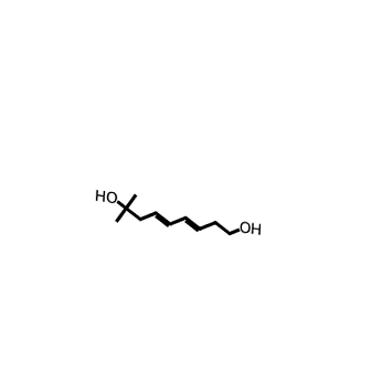 CC(C)(O)C/C=C/C=C/CCO